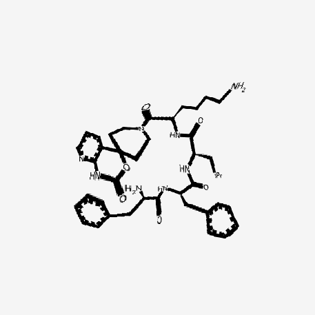 CC(C)C[C@@H](NC(=O)[C@@H](Cc1ccccc1)NC(=O)[C@H](N)Cc1ccccc1)C(=O)N[C@H](CCCCN)C(=O)N1CCC2(CC1)OC(=O)Nc1ncccc12